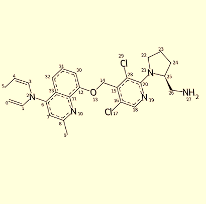 C=CN(/C=C\C)c1cc(C)nc2c(OCc3c(Cl)cnc(N4CCC[C@H]4CN)c3Cl)cccc12